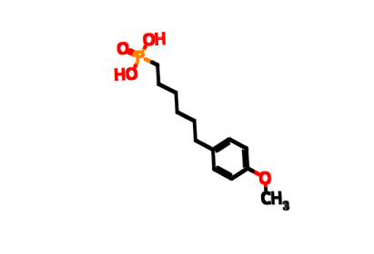 COc1ccc(CCCCCCP(=O)(O)O)cc1